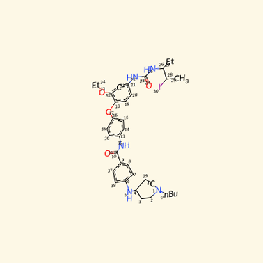 CCCCN1CCC(Nc2ccc(C(=O)Nc3ccc(Oc4ccc(NC(=O)NC(CC)C(C)I)cc4OCC)cc3)cc2)CC1